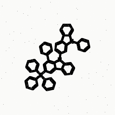 c1ccc(-c2cc([Si](c3ccccc3)(c3ccccc3)c3ccccc3)cc3c4ccccc4n(-c4ccc5c6ccccc6n(-c6ccccc6)c5c4)c23)cc1